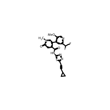 COc1cnc(C(F)F)cc1-c1cn(C)c(=O)cc1C(=O)Nc1nnc(C#CC2CC2)s1